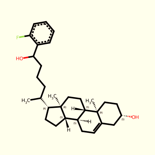 CC(CCCC(O)c1ccccc1F)[C@H]1CC[C@H]2[C@@H]3CC=C4C[C@@H](O)CC[C@]4(C)[C@H]3CC[C@]12C